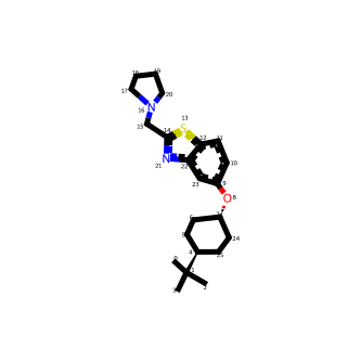 CC(C)(C)[C@H]1CC[C@H](Oc2ccc3sc(CN4CCCC4)nc3c2)CC1